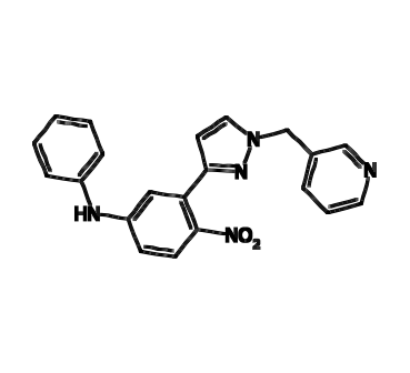 O=[N+]([O-])c1ccc(Nc2ccccc2)cc1-c1ccn(Cc2cccnc2)n1